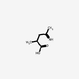 CC(=N)CC(C)C(=O)O